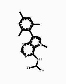 CCC(CC)Nc1ncnc2c(-c3c(C)cc(C)cc3C)cn(C)c12